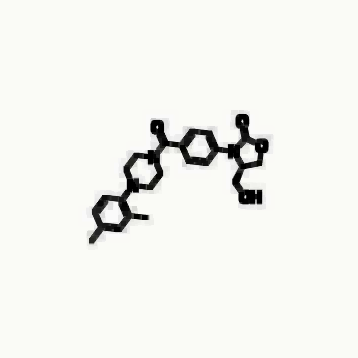 Cc1ccc(N2CCN(C(=O)c3ccc(N4C(=O)OC[C@H]4CO)cc3)CC2)c(C)c1